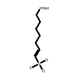 CCCCCCCCCCCC/C=C/[Si](Cl)(Cl)Cl